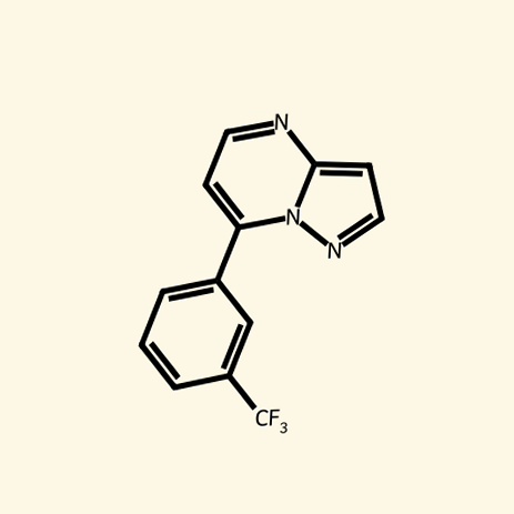 FC(F)(F)c1cccc(-c2ccnc3ccnn23)c1